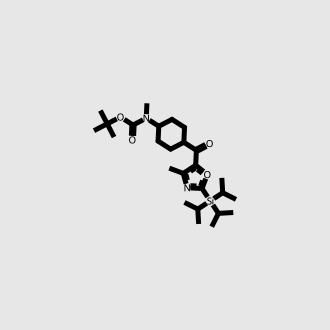 Cc1nc([Si](C(C)C)(C(C)C)C(C)C)oc1C(=O)C1CCC(N(C)C(=O)OC(C)(C)C)CC1